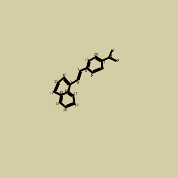 CC(C)c1ccc(C=Cc2cccc3ccccc23)cc1